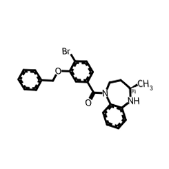 C[C@@H]1CCN(C(=O)c2ccc(Br)c(OCc3ccccc3)c2)c2ccccc2N1